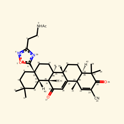 CC(=O)NCCc1noc([C@]23CCC(C)(C)C[C@H]2[C@H]2C(=O)C=C4[C@@]5(C)C=C(C#N)C(=O)C(C)(C)[C@@H]5CC[C@@]4(C)[C@]2(C)CC3)n1